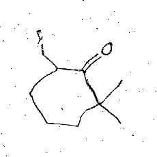 CC1(C)CCCC(F)C1=O